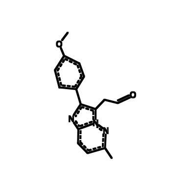 COc1ccc(-c2nc3ccc(C)nn3c2CC=O)cc1